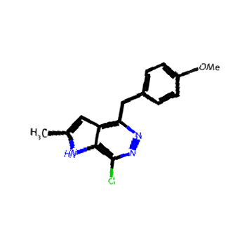 COc1ccc(Cc2nnc(Cl)c3[nH]c(C)cc23)cc1